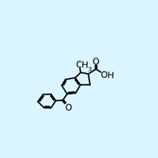 CC1c2ccc(C(=O)c3ccccc3)cc2CC1C(=O)O